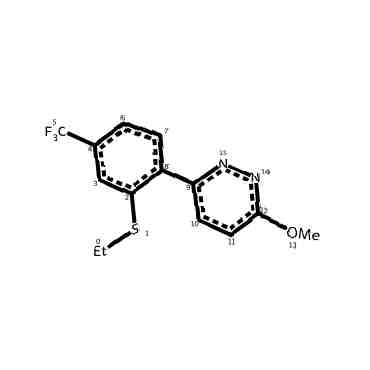 CCSc1cc(C(F)(F)F)ccc1-c1ccc(OC)nn1